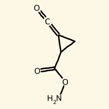 NOC(=O)C1CC1=C=O